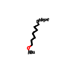 CCCCCCCCCCCCCCOCCCC